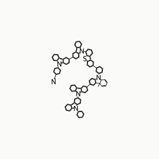 CC12C=CC=CC1N(c1cccc(-c3ccc4sc5c(-n6c7ccccc7c7cc(-c8ccc9c(c8)c8ccccc8n9-c8ccc(C#N)cc8)ccc76)cccc5c4c3)c1)c1ccc(-c3ccc4c(c3)c3ccccc3n4-c3ccc4c(c3)c3ccccc3n4-c3ccccc3)cc12